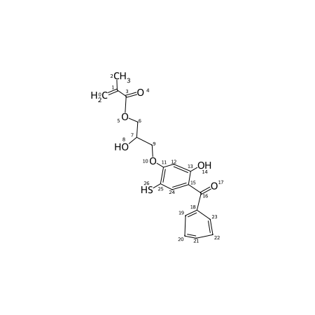 C=C(C)C(=O)OCC(O)COc1cc(O)c(C(=O)c2ccccc2)cc1S